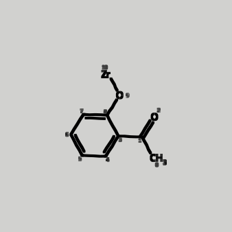 CC(=O)c1ccccc1[O][Zr]